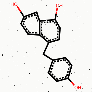 Oc1ccc(Cc2ccc(O)c3cc(O)ccc23)cc1